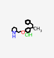 CC(Cc1ccccc1)c1ccc(OCCC2CCCCN2)cc1.Cl